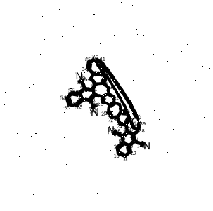 N#Cc1c2c(c(C#N)c3ccccc13)C1=C3C=C4CC5=C(C=CC4C1)CC1C(=C5)CC4=CC5=C(C=CC6CC2=C(C=C6C5)C3)CC4c2c1c(C#N)c1ccccc1c2C#N